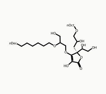 CCCCCCCCCCCCCCCCOC(CO)COC1=C(O)C(=O)O[C@]1(CC(O)COCCCCCCCC)[C@@H](O)CO